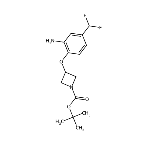 CC(C)(C)OC(=O)N1CC(Oc2ccc(C(F)F)cc2N)C1